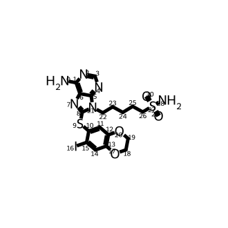 Nc1ncnc2c1nc(Sc1cc3c(cc1I)OCCO3)n2CCCCCS(N)(=O)=O